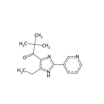 CCc1[nH]c(-c2cccnc2)nc1C(=O)C(C)(C)C